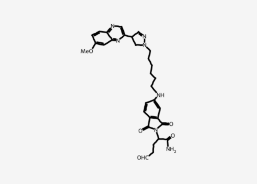 COc1ccc2ncc(C3C=NN(CCCCCCNc4ccc5c(c4)C(=O)N(C(CCC=O)C(N)=O)C5=O)C3)nc2c1